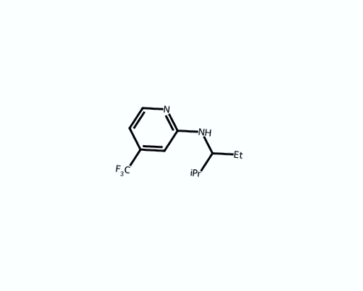 CCC(Nc1cc(C(F)(F)F)ccn1)C(C)C